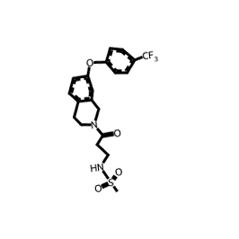 CS(=O)(=O)NCCC(=O)N1CCc2ccc(Oc3ccc(C(F)(F)F)cc3)cc2C1